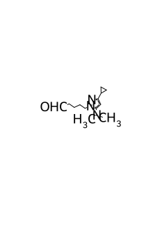 CN(C)c1cc(C2CC2)nn1CCCCC=O